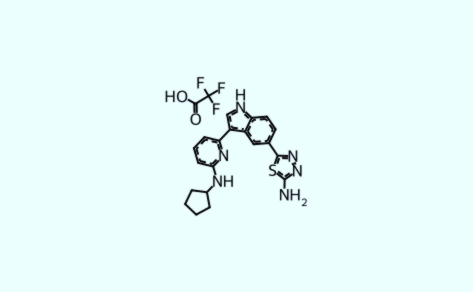 Nc1nnc(-c2ccc3[nH]cc(-c4cccc(NC5CCCC5)n4)c3c2)s1.O=C(O)C(F)(F)F